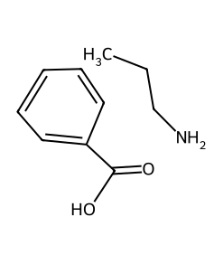 CCCN.O=C(O)c1ccccc1